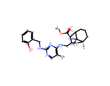 CC(C)(C)OC(=O)N[C@@H]1[C@@H]2CCC[C@H]1CC(CNc1nc(NCc3ccccc3O)ncc1C#N)C2